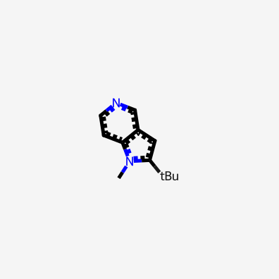 Cn1c(C(C)(C)C)cc2cnccc21